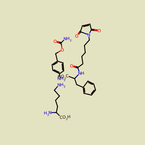 NC(=O)OCc1ccc(N)cc1.NCCCCC(N)C(=O)O.O=C(CCCCCN1C(=O)C=CC1=O)NC(Cc1ccccc1)C(=O)O